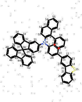 c1ccc(-c2c(N(c3ccc(-c4ccc5sc6ccccc6c5c4)cc3)c3ccc4c(c3)-c3ccccc3C43c4ccccc4-c4ccccc43)ccc3ccccc23)cc1